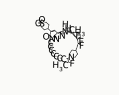 CC(F)C1CCCCCCCn2c(=O)c(C3CCS(=O)(=O)CC3)cc3c(ncnc32)N[C@H](C)c2cccc(c2F)C(F)(F)C2CCN1CC2